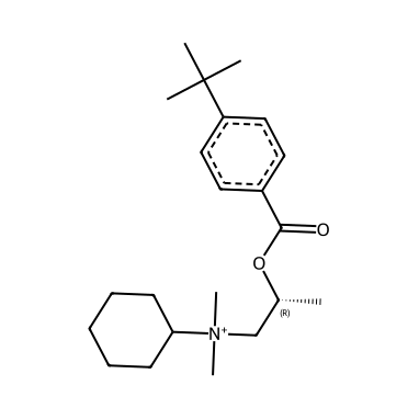 C[C@H](C[N+](C)(C)C1CCCCC1)OC(=O)c1ccc(C(C)(C)C)cc1